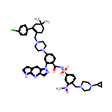 C[N+](=O)c1cc(S(=O)(=O)NC(=O)c2ccc(N3CCN(CC4=C(c5ccc(Cl)cc5)CC(C)(C)CC4)CC3)cc2-n2ncc3nc4[nH]ccc4cc32)ccc1CN1CCN(C2CC2)CC1